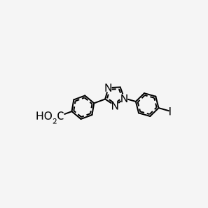 O=C(O)c1ccc(-c2ncn(-c3ccc(I)cc3)n2)cc1